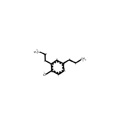 CCCc1c[c]c(Cl)c(CCC)c1